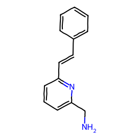 NCc1cccc(C=Cc2ccccc2)n1